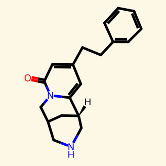 O=c1cc(CCc2ccccc2)cc2n1CC1CNC[C@@H]2C1